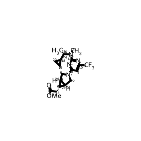 COC(=O)C[C@@H]1[C@H]2CN(c3cc(C(F)(F)F)nc(N(C)[C@@H](C)C4CC4)n3)C[C@@H]12